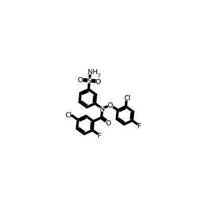 NS(=O)(=O)c1cccc(N(Oc2ccc(F)cc2Cl)C(=O)c2cc(Cl)ccc2F)c1